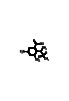 CC(c1c(N)cc(N)cc1C(=O)O)S(C)(=O)=O